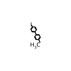 CCc1ccc(-c2ccc(I)cc2)cc1